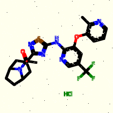 CC(=O)N1C2CCC1CC(c1nsc(Nc3ncc(C(F)(F)F)cc3Oc3cccnc3C)n1)C2.Cl